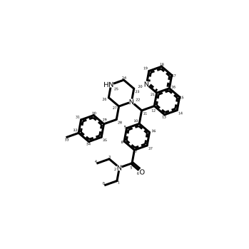 CCN(CC)C(=O)c1ccc(C(c2cccc3cccnc23)N2CCNCC2Cc2ccc(C)cc2)cc1